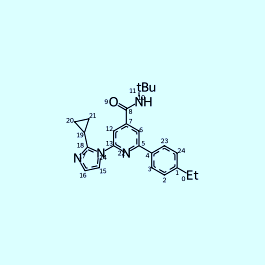 CCc1ccc(-c2cc(C(=O)NC(C)(C)C)cc(-n3ccnc3C3CC3)n2)cc1